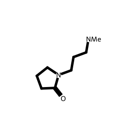 [CH2]NCCCN1CCCC1=O